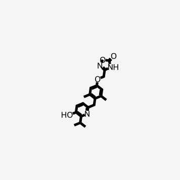 Cc1cc(OCc2noc(=O)[nH]2)cc(C)c1Cc1ccc(O)c(C(C)C)n1